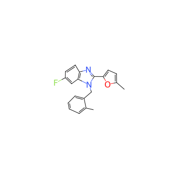 Cc1ccc(-c2nc3ccc(F)cc3n2Cc2ccccc2C)o1